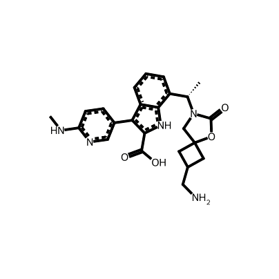 CNc1ccc(-c2c(C(=O)O)[nH]c3c([C@H](C)N4CC5(CC(CN)C5)OC4=O)cccc23)cn1